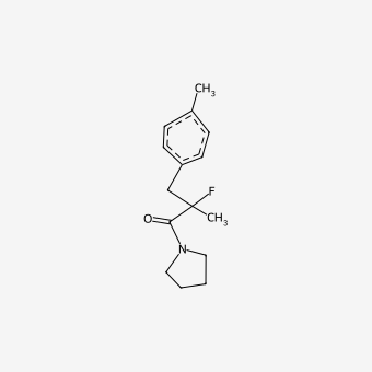 Cc1ccc(CC(C)(F)C(=O)N2CCCC2)cc1